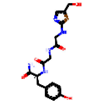 NC(=O)[C@H](Cc1ccc(O)cc1)NC(=O)CNC(=O)CNc1ncc(CO)s1